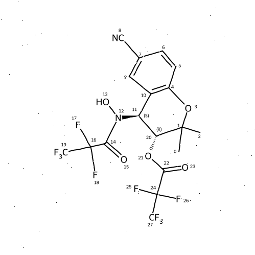 CC1(C)Oc2ccc(C#N)cc2[C@H](N(O)C(=O)C(F)(F)C(F)(F)F)[C@H]1OC(=O)C(F)(F)C(F)(F)F